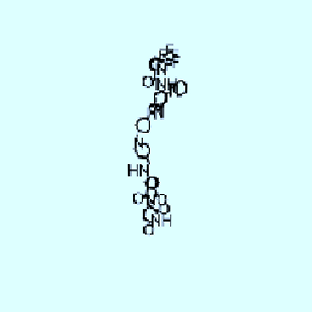 O=C1CCC(N2C(=O)c3ccc(NCC4CCN(C[C@H]5CC[C@H](n6cc7cc(NC(=O)c8cccc(S(F)(F)(F)(F)F)n8)c(N8CCCCC8)cc7n6)CC5)CC4)cc3C2=O)C(=O)N1